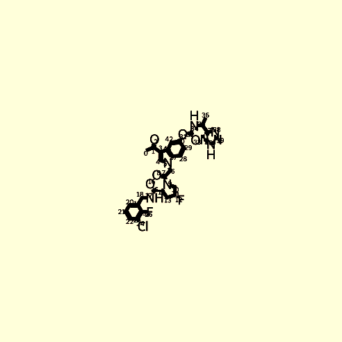 CC(=O)c1cn(CC(=O)N2C[C@H](F)C[C@H]2C(=O)NCc2cccc(Cl)c2F)c2ccc(OC(=O)NC(C)c3nn[nH]n3)cc12